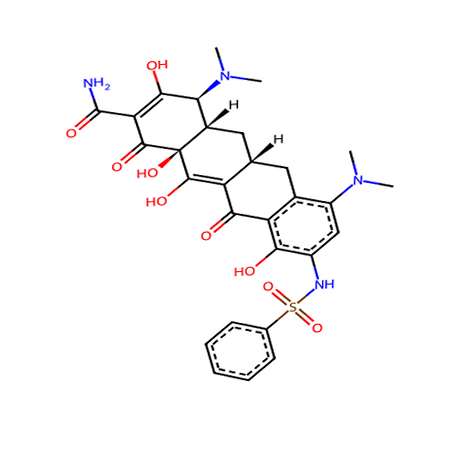 CN(C)c1cc(NS(=O)(=O)c2ccccc2)c(O)c2c1C[C@H]1C[C@H]3[C@H](N(C)C)C(O)=C(C(N)=O)C(=O)[C@@]3(O)C(O)=C1C2=O